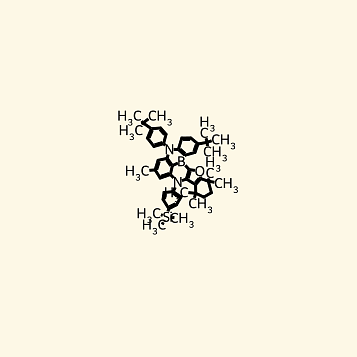 Cc1cc2c3c(c1)N(c1ccc([Si](C)(C)C)cc1)c1c(oc4c1C(C)(C)CCC4(C)C)B3c1cc(C(C)(C)C)ccc1N2c1ccc(C(C)(C)C)cc1